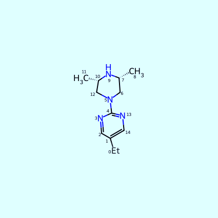 CCc1cnc(N2C[C@@H](C)N[C@@H](C)C2)nc1